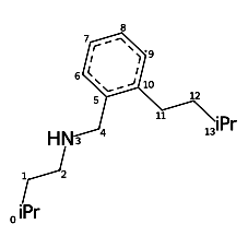 CC(C)CCNCc1ccc[c]c1CCC(C)C